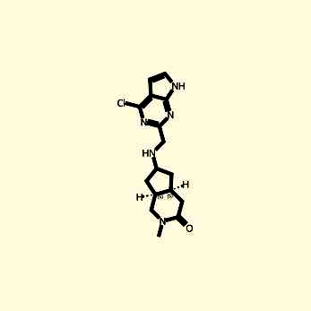 CN1C[C@H]2CC(NCc3nc(Cl)c4cc[nH]c4n3)C[C@H]2CC1=O